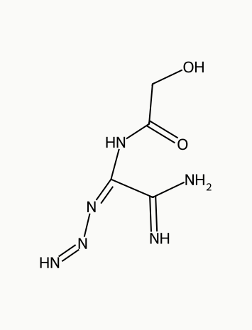 N=N/N=C(/NC(=O)CO)C(=N)N